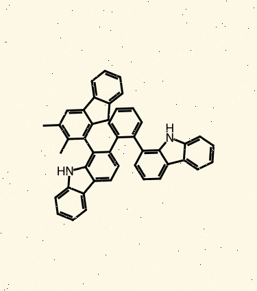 Cc1cc2c(c(-c3c(-c4ccccc4-c4cccc5c4[nH]c4ccccc45)ccc4c3[nH]c3ccccc34)c1C)Cc1ccccc1-2